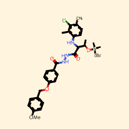 COc1ccc(COc2ccc(C(=O)NNC(=O)C(Nc3ccc(C#N)c(Cl)c3C)C(C)O[Si](C)(C)C(C)(C)C)cc2)cc1